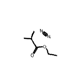 CCOC(=O)C(C)C.N#N